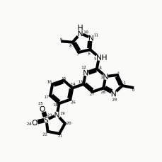 Cc1cn2c(Nc3cc(C)[nH]n3)nc(-c3cccc(N4CCCS4(=O)=O)c3)cc2n1